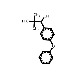 CC(c1ccc(Oc2ccccc2)cc1)C(C)(C)C